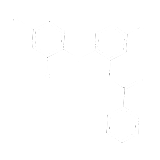 O=C(Oc1cc(Cl)ccc1Oc1ccc(Cl)cc1Cl)c1ccccc1